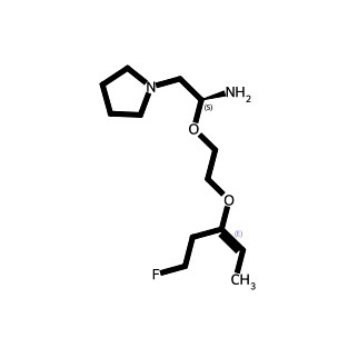 C/C=C(\CCF)OCCO[C@H](N)CN1CCCC1